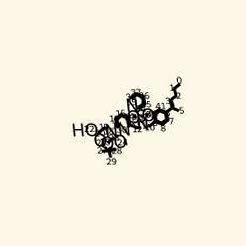 CCCC=C(C)c1ccc(CN(Cc2cccc(N(CC(=O)O)C(=O)OC(C)(C)C)n2)S(=O)(=O)c2ccccn2)cc1